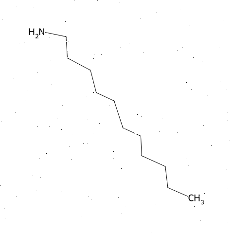 CCCCCCC[CH]CCCN